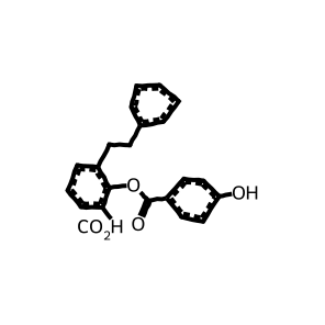 O=C(Oc1c(CCc2ccccc2)cccc1C(=O)O)c1ccc(O)cc1